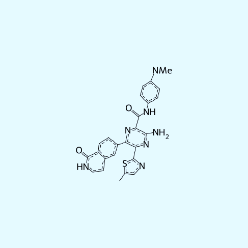 CNc1ccc(NC(=O)c2nc(-c3ccc4c(=O)[nH]ccc4c3)c(-c3ncc(C)s3)nc2N)cc1